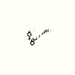 [N-]=[N+]=NCCOCCOCc1cn(C(O)c2ccc(O)cc2)c2ccccc12